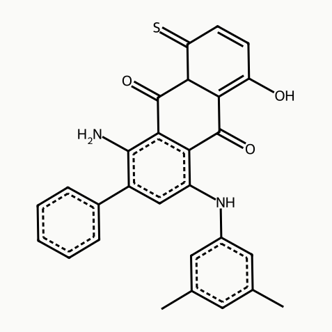 Cc1cc(C)cc(Nc2cc(-c3ccccc3)c(N)c3c2C(=O)C2=C(O)C=CC(=S)C2C3=O)c1